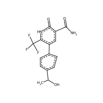 CC(O)c1ccc(-c2cc(C(N)=O)c(=O)[nH]c2C(F)(F)F)cc1